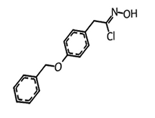 O/N=C(\Cl)Cc1ccc(OCc2ccccc2)cc1